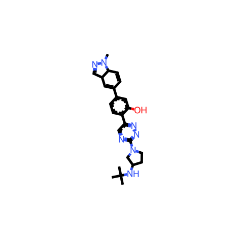 CN1N=CC2C=C(c3ccc(-c4cnc(N5CCC(NC(C)(C)C)C5)nn4)c(O)c3)C=CC21